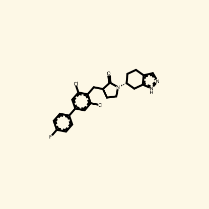 O=C1C(Cc2c(Cl)cc(-c3ccc(F)cc3)cc2Cl)CCN1[C@@H]1CCc2cn[nH]c2C1